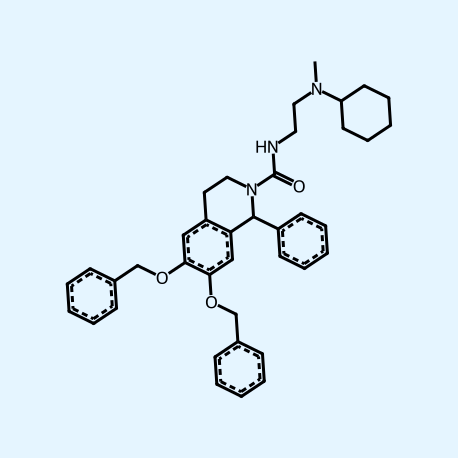 CN(CCNC(=O)N1CCc2cc(OCc3ccccc3)c(OCc3ccccc3)cc2C1c1ccccc1)C1CCCCC1